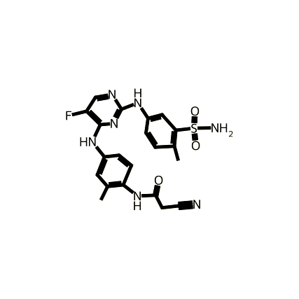 Cc1cc(Nc2nc(Nc3ccc(C)c(S(N)(=O)=O)c3)ncc2F)ccc1NC(=O)CC#N